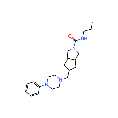 CCCNC(=O)N1CC2CC(CN3CCN(c4ccccc4)CC3)CC2C1